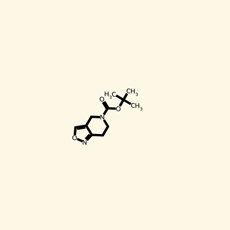 CC(C)(C)OC(=O)N1CCc2nocc2C1